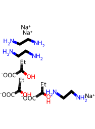 CCC(O)C(=O)[O-].CCC(O)C(=O)[O-].CCC(O)C(=O)[O-].NCCN.NCCN.NCCN.[Na+].[Na+].[Na+]